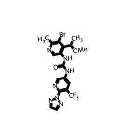 COC(C)c1c(NC(=O)Nc2cnc(-n3nccn3)c(C(F)(F)F)c2)cnc(C)c1Br